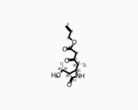 C=CCOC(=O)CC(=O)[C@H](C)[C@H]1NC(=O)[C@@H]1[C@@H](C)O